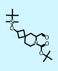 CC(C)(C)OC(=O)N1CCC2(CC(O[Si](C)(C)C(C)(C)C)C2)CC1C=O